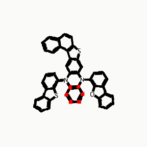 c1ccc(N(c2cc3sc4ccc5ccccc5c4c3cc2N(c2ccccc2)c2cccc3c2sc2ccccc23)c2cccc3c2oc2ccccc23)cc1